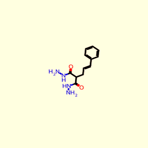 NNC(=O)C(CC=Cc1ccccc1)C(=O)NN